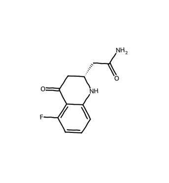 NC(=O)C[C@H]1CC(=O)c2c(F)cccc2N1